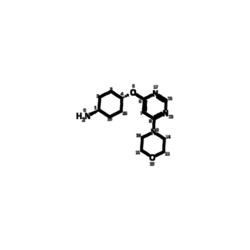 N[C@H]1CC[C@H](Oc2cc(N3CCOCC3)ncn2)CC1